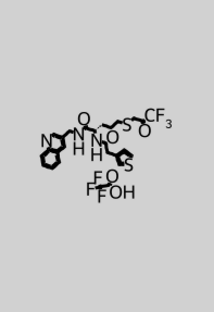 O=C(Cc1ccsc1)N[C@@H](CCCSCC(=O)C(F)(F)F)C(=O)NCc1cnc2ccccc2c1.O=C(O)C(F)(F)F